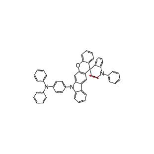 c1ccc(N(c2ccccc2)c2ccc(-n3c4ccccc4c4cc5c(cc43)Oc3ccccc3C53c4ccccc4N(c4ccccc4)c4ccccc43)cc2)cc1